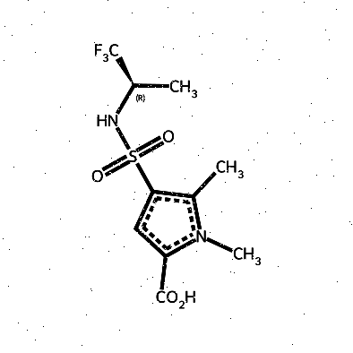 Cc1c(S(=O)(=O)N[C@H](C)C(F)(F)F)cc(C(=O)O)n1C